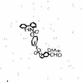 COc1cc2c(ccn2C(=O)OCCN2CCC(OC(=O)Nc3ccccc3-c3ccccc3)CC2)cc1C=O